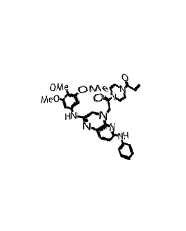 C=CC(=O)N1CCN(C(=O)CN2CC(Nc3cc(OC)c(OC)c(OC)c3)=Nc3ccc(Nc4ccccc4)nc32)CC1